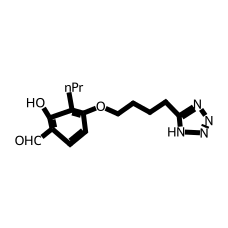 CCCc1c(OCCCCc2nnn[nH]2)ccc(C=O)c1O